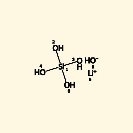 O[Si](O)(O)O.[Li+].[OH-]